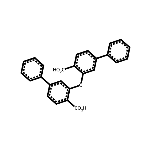 O=C(O)c1ccc(-c2ccccc2)cc1Oc1cc(-c2ccccc2)ccc1C(=O)O